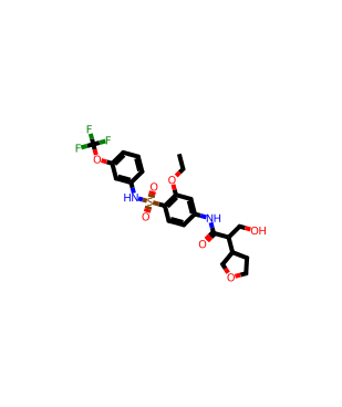 CCOc1cc(NC(=O)C(CO)C2CCOC2)ccc1S(=O)(=O)Nc1cccc(OC(F)(F)F)c1